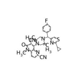 C[C@@H]1CN(c2c(C#N)c(=O)n(C)c3ccc(C#N)nc23)[C@@H](C)CN1C(c1ccc(F)cc1)c1csc(C2CC2)n1